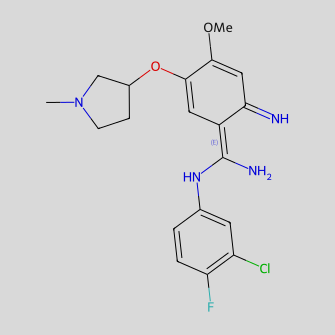 COC1=CC(=N)/C(=C(\N)Nc2ccc(F)c(Cl)c2)C=C1OC1CCN(C)C1